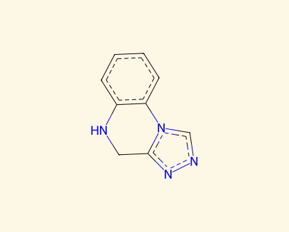 c1ccc2c(c1)NCc1nncn1-2